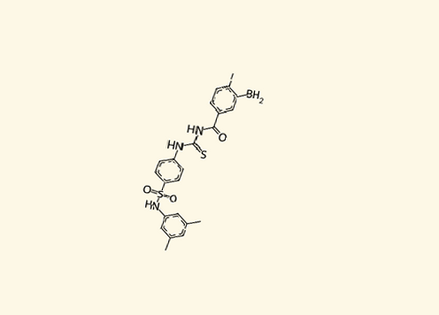 Bc1cc(C(=O)NC(=S)Nc2ccc(S(=O)(=O)Nc3cc(C)cc(C)c3)cc2)ccc1C